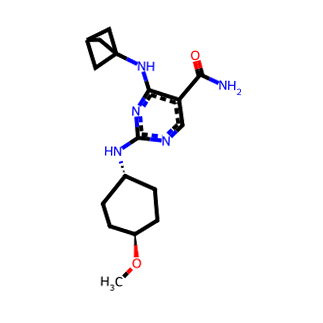 CO[C@H]1CC[C@H](Nc2ncc(C(N)=O)c(NC34CC(C3)C4)n2)CC1